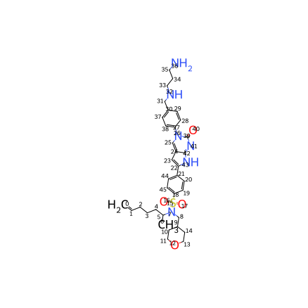 C=CCCCC(C)N(CC1CCOCC1)S(=O)(=O)c1ccc(-c2cc3cn(-c4ccc(CNCCCN)cc4)c(=O)nc3[nH]2)cc1